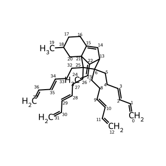 C=C/C=C/CCC1(CC/C=C/C=C)C2C=C3CCC(C)CC3(C2=CC)C1(CC/C=C/C=C)CC/C=C/C=C